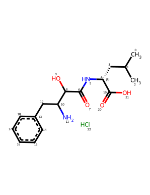 CC(C)C[C@@H](NC(=O)C(O)C(N)Cc1ccccc1)C(=O)O.Cl